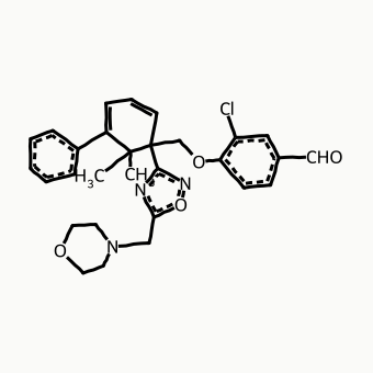 CC1(C)C(c2ccccc2)=CC=CC1(COc1ccc(C=O)cc1Cl)c1noc(CN2CCOCC2)n1